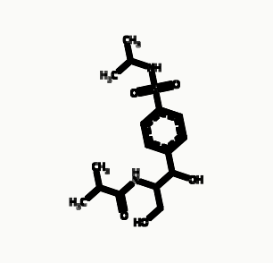 CC(C)NS(=O)(=O)c1ccc(C(O)C(CO)NC(=O)C(C)C)cc1